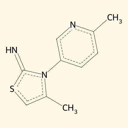 Cc1ccc(-n2c(C)csc2=N)cn1